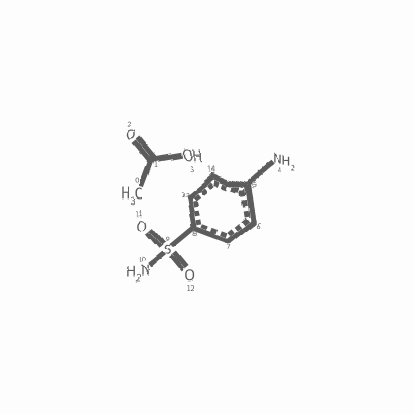 CC(=O)O.Nc1ccc(S(N)(=O)=O)cc1